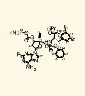 C#C[C@]1(CO[P@@](=O)(N[C@@H](Cc2cc(F)cc(F)c2)C(=O)OC(C)C)Oc2ccccc2)O[C@@H](n2cnc3c(N)nc(F)nc32)C[C@@H]1OC(=O)OCCCCCCCCC